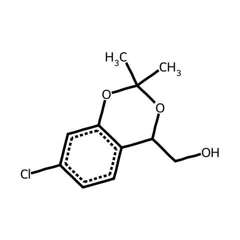 CC1(C)Oc2cc(Cl)ccc2C(CO)O1